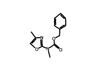 Cc1coc(N(C)C(=O)OCc2ccccc2)n1